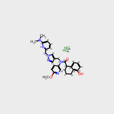 COc1ccc(N(Cc2cnn(Cc3cccc(N(C)C)n3)c2)C(=O)C2CCCc3c(O)cccc32)cn1.Cl.Cl